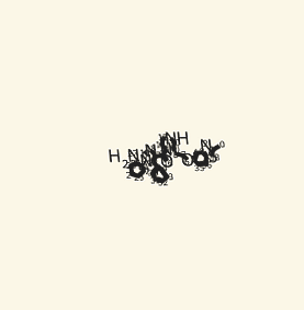 Cc1nc2cc(OCC[C@@H]3CNCCN3C(=O)c3ncn([C@H]4CCCC[C@@H]4N)c3-c3ccccc3)ccc2s1